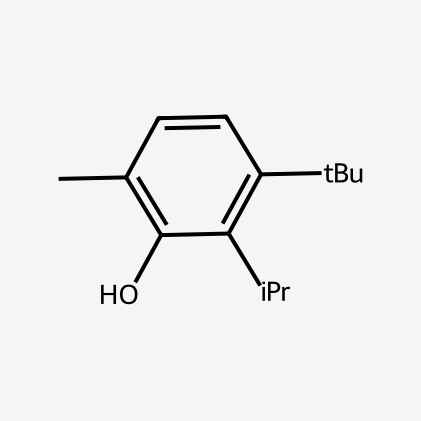 Cc1ccc(C(C)(C)C)c(C(C)C)c1O